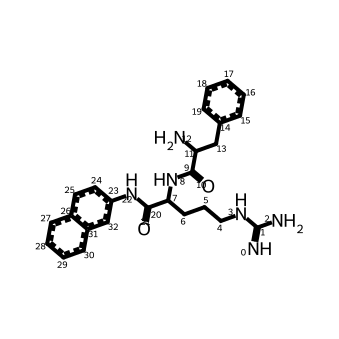 N=C(N)NCCCC(NC(=O)C(N)Cc1ccccc1)C(=O)Nc1ccc2ccccc2c1